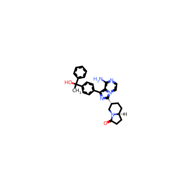 CC(O)(c1ccccc1)c1ccc(-c2nc([C@@H]3CC[C@H]4CCC(=O)N4C3)n3ccnc(N)c23)cc1